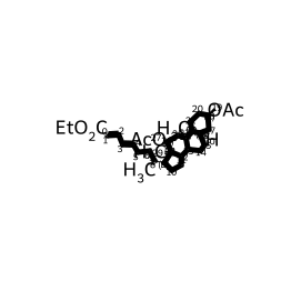 CCOC(=O)C=CC=CCCC(C)[C@H]1CCC2C3CC[C@@H]4C[C@H](OC(C)=O)CC[C@]4(C)C3C[C@H](OC(C)=O)[C@@]21C